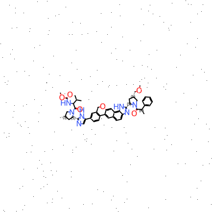 COC[C@H]1C[C@@H](c2nc3ccc4cc5c(cc4c3[nH]2)OCc2cc(-c3cnc([C@@H]4C[C@H](C)CN4C(=O)C(NC(=O)OC)C(C)C)[nH]3)ccc2-5)N(C(=O)[C@H](C)c2ccccc2)C1